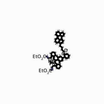 CCOC(=O)/C=C/c1c2c(c3n1[B-](F)(F)N1C(=C3c3c(C)cc(-c4ccccc4OC(=O)CCCc4ccc5c6cccc7cccc(c8cccc4c85)c76)cc3C)C3=C(CCCC3)C1/C=C/C(=O)OCC)CCCC2